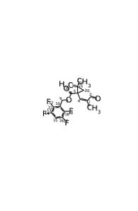 CC(C=O)=CC1(C(=O)OCc2c(F)c(F)cc(F)c2F)CC1(C)C